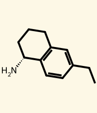 CCc1ccc2c(c1)CCC[C@H]2N